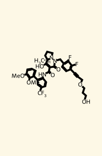 COc1cccc(-c2cc(C(F)(F)F)ccc2NC(=O)C2=C(O)[C@@]3(C)CCCN3N(Cc3ccc(C#CCOCCCO)c(F)c3F)C2=O)c1OC